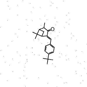 CC1C(=O)C(=Cc2ccc(C(C)(C)C)cc2)C2CC1C2(C)C